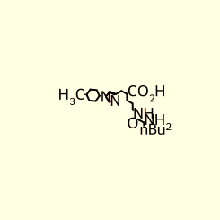 CCCCC(N)C(=O)NCCCC(Cc1cn([C@H]2CC[C@H](C)CC2)cn1)C(=O)O